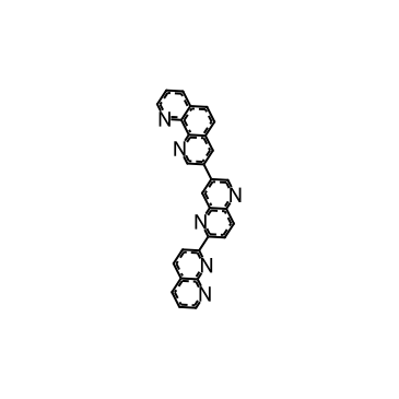 c1cnc2nc(-c3ccc4ncc(-c5cnc6c(ccc7cccnc76)c5)cc4n3)ccc2c1